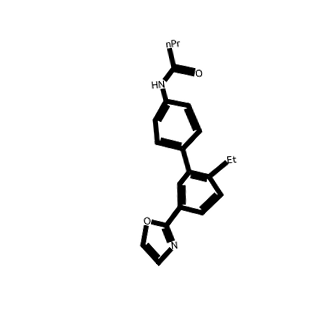 CCCC(=O)Nc1ccc(-c2cc(-c3ncco3)ccc2CC)cc1